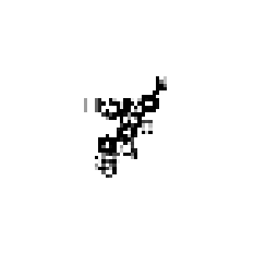 CCOc1cc2c(=O)c3c4ccc(C#N)cc4[nH]c3n(C3CCNCC3)c2cc1-c1cccc(S(=O)(=O)F)c1